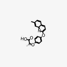 Cc1ccc2ccc(Oc3ccc(O[C@H](C)C(=O)O)cc3)nc2c1